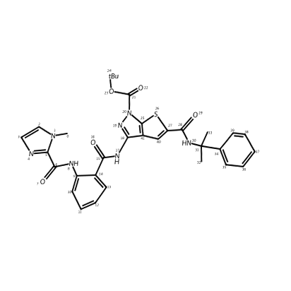 Cn1ccnc1C(=O)Nc1ccccc1C(=O)Nc1nn(C(=O)OC(C)(C)C)c2sc(C(=O)NC(C)(C)c3ccccc3)cc12